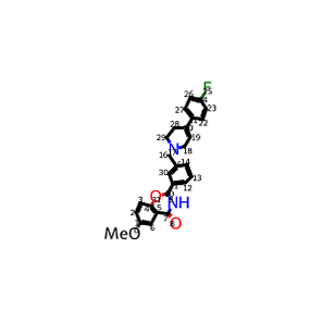 COc1ccc2c(c1)C(=O)NC(c1cccc(CN3CC=C(c4ccc(F)cc4)CC3)c1)O2